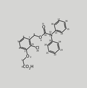 O=C(O)COc1cccc(COC(=O)N(c2ccccc2)c2ccccc2)c1Cl